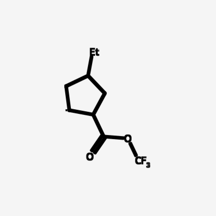 [CH2]CC1C[CH]C(C(=O)OC(F)(F)F)C1